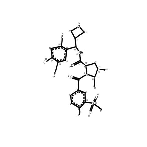 Cc1ccc(C(=O)N2[C@@H](C(=O)NC(c3cc(F)c(Cl)cc3F)C3COC3)C[C@@H](C)[C@H]2C)cc1S(C)(=O)=O